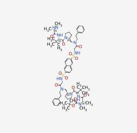 CN[C@@H](C)C(=O)N[C@H](C(=O)N1CCC[C@H]1CN(CCc1ccccc1)C(=O)CNS(=O)(=O)c1ccc2cc(S(=O)(=O)NCC(=O)N(CCc3ccccc3)C[C@@H]3CCCN3C(=O)[C@@H](NC(=O)[C@H](C)N(C)C(=O)OC(C)(C)C)C(C)(C)C)ccc2c1)C(C)(C)C